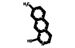 Cc1ccc2cc3ccnc(O)c3cc2c1